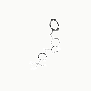 CC(C)(C)c1ccc(Nc2ncnc3c2CN(Cc2ccccc2)CC3)cn1